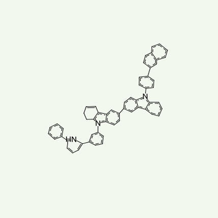 C1=CC(c2ccccc2)NC(c2cccc(-n3c4c(c5cc(-c6ccc7c(c6)c6ccccc6n7-c6ccc(-c7ccc8ccccc8c7)cc6)ccc53)C=CCC4)c2)=C1